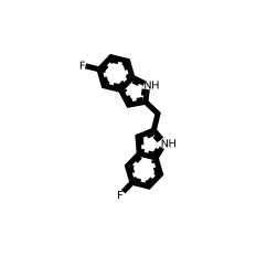 Fc1ccc2[nH]c(Cc3cc4cc(F)ccc4[nH]3)cc2c1